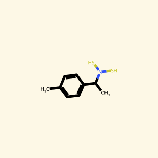 Cc1ccc(C(C)N(S)S)cc1